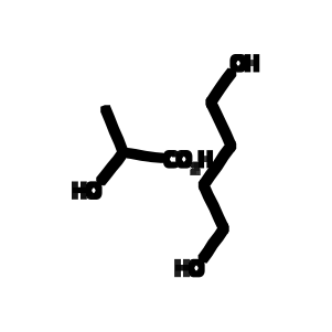 CC(O)C(=O)O.OCCCCO